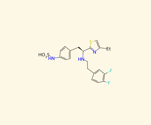 CCc1csc([C@H](Cc2ccc(NS(=O)(=O)O)cc2)NCCc2ccc(F)c(F)c2)n1